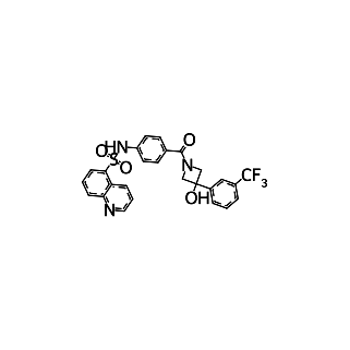 O=C(c1ccc(NS(=O)(=O)c2cccc3ncccc23)cc1)N1CC(O)(c2cccc(C(F)(F)F)c2)C1